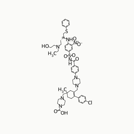 CCN(CCO)CC[C@H](CSc1ccccc1)Nc1ccc(S(=O)(=O)NC(=O)c2ccc(N3CCN(CC4=C(c5ccc(Cl)cc5)CCC(C)(CN5CCN(C(=O)O)CC5)C4)CC3)cc2)cc1[N+](=O)[O-]